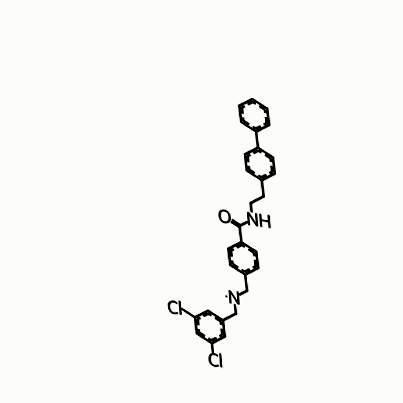 O=C(NCCc1ccc(-c2ccccc2)cc1)c1ccc(C[N]Cc2cc(Cl)cc(Cl)c2)cc1